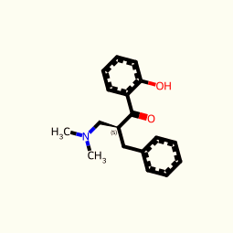 CN(C)C[C@H](Cc1ccccc1)C(=O)c1ccccc1O